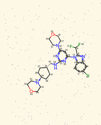 Fc1ccc2c(c1)nc(C(F)F)n2-c1cc(N2CCOCC2)nc(NC[C@H]2CC[C@H](N3CCOCC3)CC2)n1